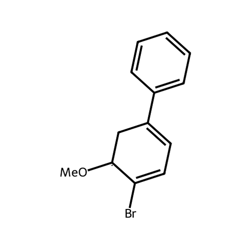 CO[C]1CC(c2ccccc2)=CC=C1Br